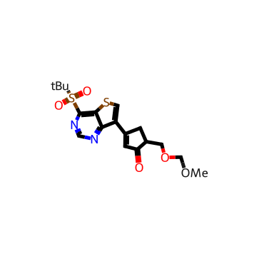 COCOCC1CC(c2csc3c(S(=O)(=O)C(C)(C)C)ncnc23)=CC1=O